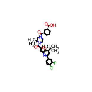 CC(C)(C)c1cc(-c2ccc(Cl)c(F)c2)nc2cc(C(=O)N3CCN(C(=O)[C@@H]4CCC[C@H](C(=O)O)C4)CC3(C)C)oc12